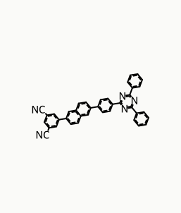 N#Cc1cc(C#N)cc(-c2ccc3cc(-c4ccc(-c5nc(-c6ccccc6)nc(-c6ccccc6)n5)cc4)ccc3c2)c1